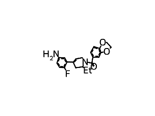 CCC1CC(c2cc(N)ccc2F)=CCN1C(=O)c1ccc2c(c1)OCCO2